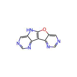 c1ncc2[nH]c3oc4cncnc4c3c2n1